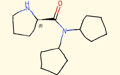 O=C([C@H]1CCCN1)N(C1CCCC1)C1CCCC1